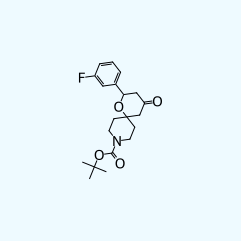 CC(C)(C)OC(=O)N1CCC2(CC1)CC(=O)CC(c1cccc(F)c1)O2